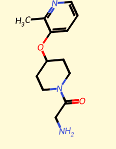 Cc1ncccc1OC1CCN(C(=O)CN)CC1